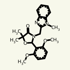 COc1cccc(OC)c1C1OC(C)(C)C(=O)N1Cc1nc2ccccc2n1C